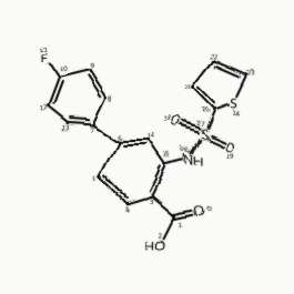 O=C(O)c1ccc(-c2ccc(F)cc2)cc1NS(=O)(=O)c1cccs1